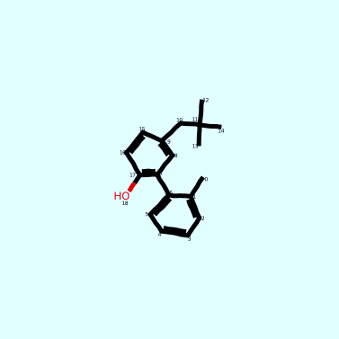 Cc1ccccc1-c1cc(CC(C)(C)C)ccc1O